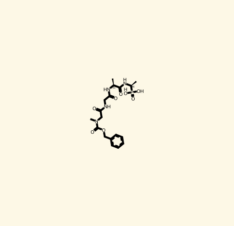 C[C@H](NC(=O)CNC(=O)CN(C)C(=O)OCc1ccccc1)C(=O)N[C@@H](C)P(=O)(O)O